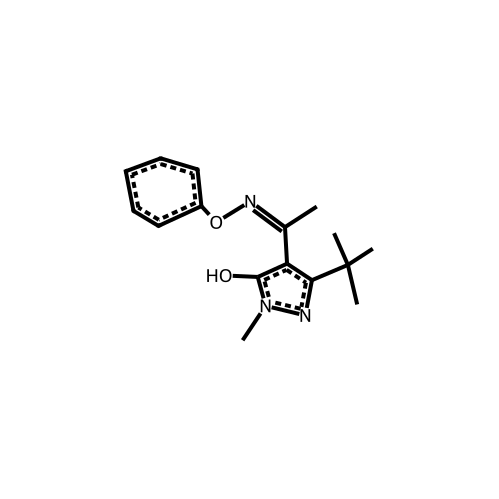 CC(=NOc1ccccc1)c1c(C(C)(C)C)nn(C)c1O